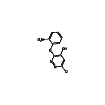 O=[N+]([O-])c1ccccc1Oc1nnc(Cl)cc1O